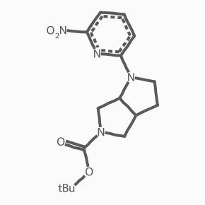 CC(C)(C)OC(=O)N1CC2CCN(c3cccc([N+](=O)[O-])n3)C2C1